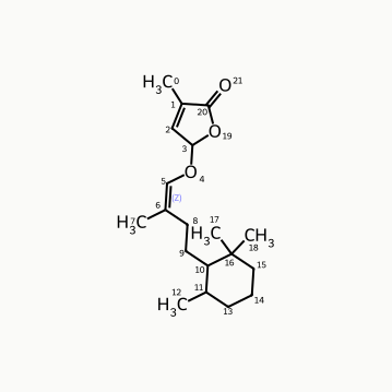 CC1=CC(O/C=C(/C)CCC2C(C)CCCC2(C)C)OC1=O